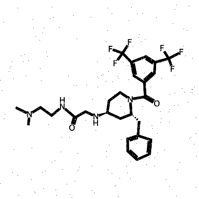 CN(C)CCNC(=O)CN[C@H]1CCN(C(=O)c2cc(C(F)(F)F)cc(C(F)(F)F)c2)[C@H](Cc2ccccc2)C1